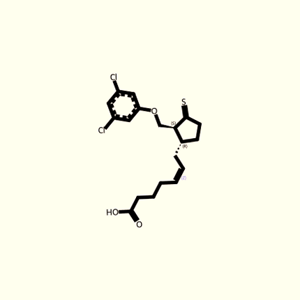 O=C(O)CCC/C=C\C[C@H]1CCC(=S)[C@@H]1COc1cc(Cl)cc(Cl)c1